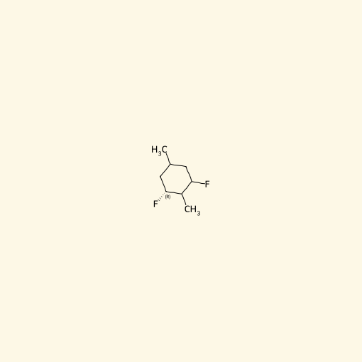 CC1CC(F)C(C)[C@H](F)C1